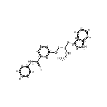 O=C(O)N[C@H](COc1cncc(C(=O)Nc2ccncc2)c1)Cc1c[nH]c2ccccc12